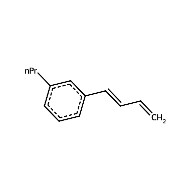 C=C/C=C/c1cccc(CCC)c1